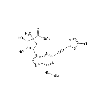 CCCCNc1nc(C#Cc2ccc(Cl)s2)nc2c1ncn2C1=C(O)[C@H](O)[C@@](C)(C(=O)NC)C1